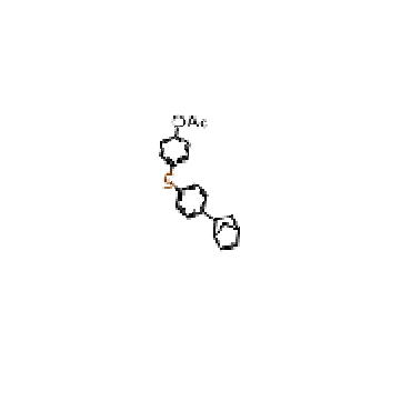 CC(=O)Oc1ccc(Sc2ccc(C3CC4C=CC3C4)cc2)cc1